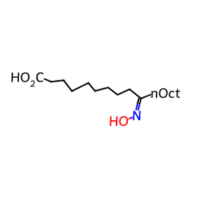 CCCCCCCCC(CCCCCCCCC(=O)O)=NO